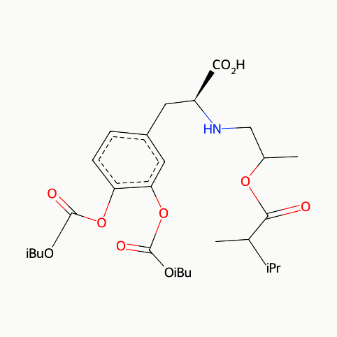 CC(C)COC(=O)Oc1ccc(C[C@H](NCC(C)OC(=O)C(C)C(C)C)C(=O)O)cc1OC(=O)OCC(C)C